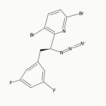 [N-]=[N+]=N[C@@H](Cc1cc(F)cc(F)c1)c1nc(Br)ccc1Br